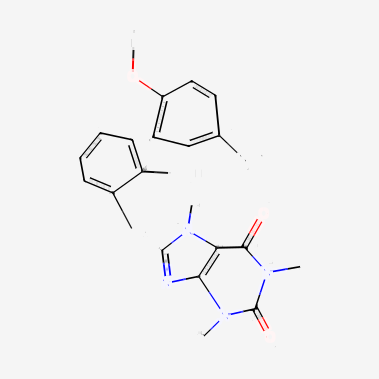 CC(=O)Oc1ccccc1C(=O)O.CCOc1ccc(NC(C)=O)cc1.Cn1c(=O)c2c(ncn2C)n(C)c1=O